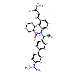 BC(c1ccc(-c2ccc(N(C)C)cc2)cc1)N(C(=O)C1CCCCC1)c1cccc(/C=C/C(=O)OC)c1